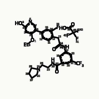 CCOc1cc(O)ncc1-c1ccc(CC(=O)Nc2cc(C(=O)NCCN3CCCC3)cc(C(F)(F)F)c2)c(F)c1.O=C(O)C(F)(F)F